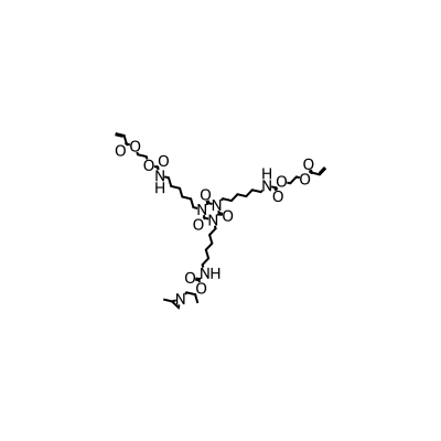 C=CC(=O)OCCOC(=O)NCCCCCCn1c(=O)n(CCCCCCNC(=O)OCCOC(=O)C=C)c(=O)n(CCCCCCNC(=O)OC(C)CN2CC2C)c1=O